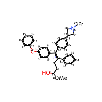 COC(O)CC/C(=C(\c1ccc(Oc2ccccc2)cc1)c1ccc(C2CN(C(C)C)C2)cc1)c1ccccc1